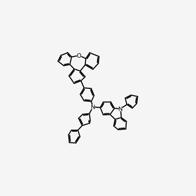 c1ccc(-c2ccc(N(c3ccc(-c4ccc5c(c4)-c4ccccc4Oc4ccccc4-5)cc3)c3ccc4c(c3)c3ccccc3n4-c3ccccc3)cc2)cc1